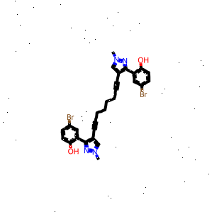 Cn1cc(C#CCCCCC#Cc2cn(C)nc2-c2cc(Br)ccc2O)c(-c2cc(Br)ccc2O)n1